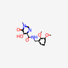 COc1cccc(CNC(=O)c2ncn(C)c(=O)c2O)c1OC